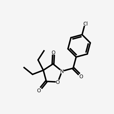 CCC1(CC)C(=O)ON(C(=O)c2ccc(Cl)cc2)C1=O